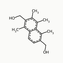 Cc1c(CO)c(C)c2ccc(CO)c(C)c2c1C